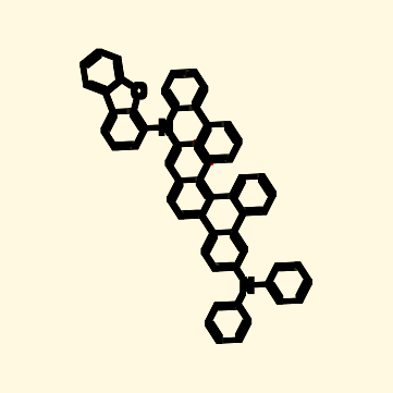 c1ccc(-c2ccccc2N(c2ccc3c(ccc4c5ccc(N(c6ccccc6)c6ccccc6)cc5c5ccccc5c34)c2)c2cccc3c2oc2ccccc23)cc1